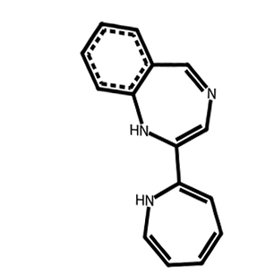 C1=CC=C(C2=CN=Cc3ccccc3N2)NC=C1